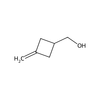 C=C1CC(CO)C1